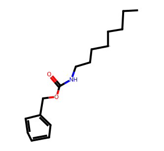 CCCC[CH]CCCNC(=O)OCc1ccccc1